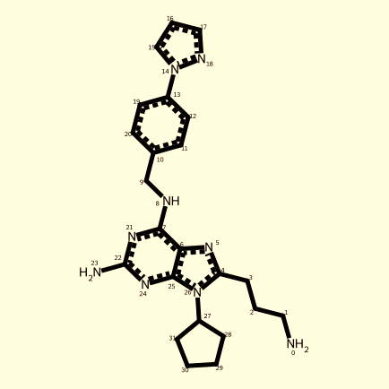 NCCCc1nc2c(NCc3ccc(-n4cccn4)cc3)nc(N)nc2n1C1CCCC1